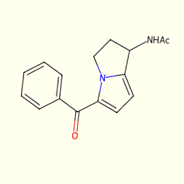 CC(=O)NC1CCn2c(C(=O)c3ccccc3)ccc21